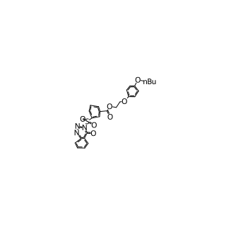 CCCCOc1ccc(OCCOC(=O)c2cccc(S(=O)(=O)n3nnc4ccccc4c3=O)c2)cc1